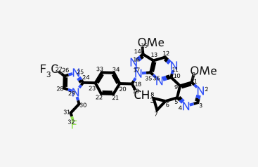 COc1ncnc(C2CC2)c1-c1ncc2c(OC)nn(C(C)c3ccc(-c4nc(C(F)(F)F)cn4CCF)cc3)c2n1